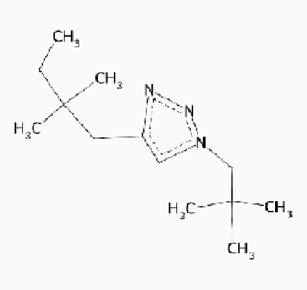 CCC(C)(C)Cc1cn(CC(C)(C)C)nn1